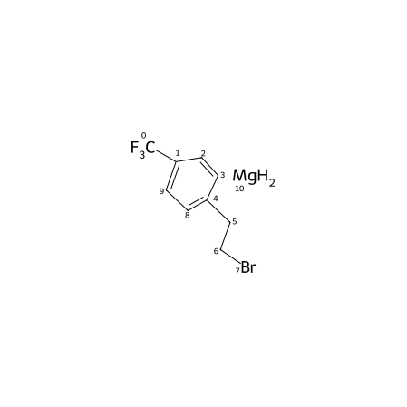 FC(F)(F)c1ccc(CCBr)cc1.[MgH2]